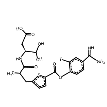 CC(Cc1ccc(C(=O)Oc2ccc(C(=N)N)cc2F)s1)C(=O)N[C@@H](CC(=O)O)C(O)O